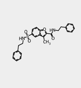 Cc1c(C(=O)NCCc2ccccc2)oc2ccc(S(=O)(=O)NCCc3ccccc3)cc12